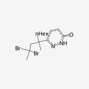 CCCCCCC(C)(CC(C)(Br)Br)c1ccc(=O)[nH]n1